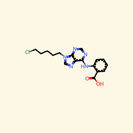 O=C(O)c1ccccc1Nc1ncnc2c1ncn2CCCCCCl